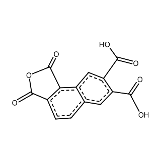 O=C(O)c1cc2ccc3c(c2cc1C(=O)O)C(=O)OC3=O